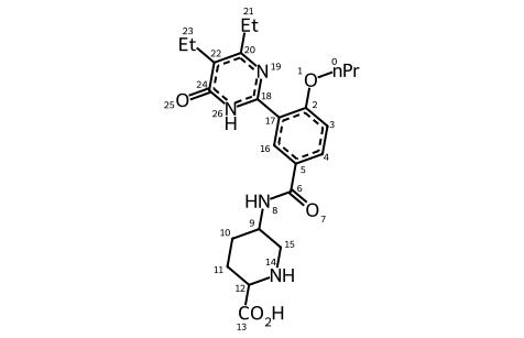 CCCOc1ccc(C(=O)NC2CCC(C(=O)O)NC2)cc1-c1nc(CC)c(CC)c(=O)[nH]1